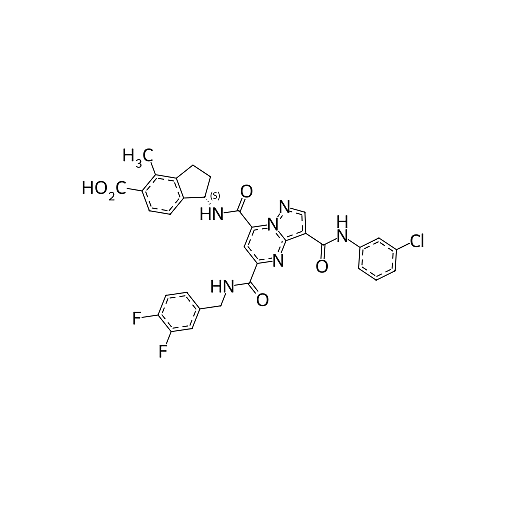 Cc1c(C(=O)O)ccc2c1CC[C@@H]2NC(=O)c1cc(C(=O)NCc2ccc(F)c(F)c2)nc2c(C(=O)Nc3cccc(Cl)c3)cnn12